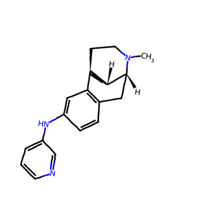 CN1CC[C@]23CCCC[C@H]2[C@H]1Cc1ccc(Nc2cccnc2)cc13